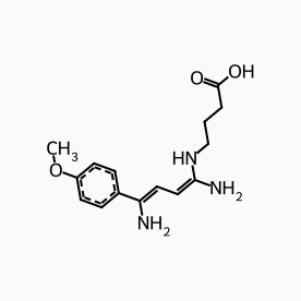 COc1ccc(/C(N)=C/C=C(/N)NCCCC(=O)O)cc1